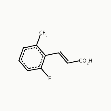 O=C(O)C=Cc1c(F)cccc1C(F)(F)F